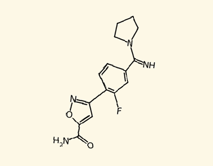 N=C(c1ccc(-c2cc(C(N)=O)on2)c(F)c1)N1CCCC1